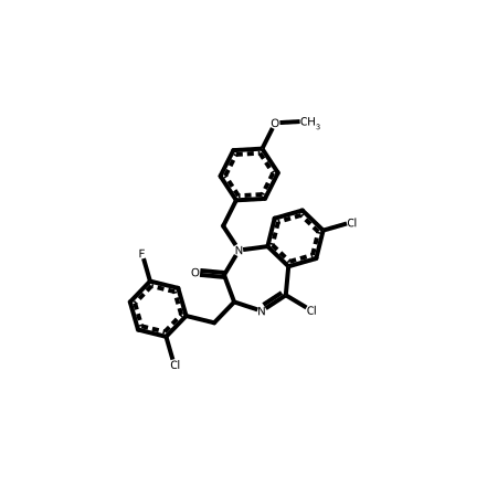 COc1ccc(CN2C(=O)C(Cc3cc(F)ccc3Cl)N=C(Cl)c3cc(Cl)ccc32)cc1